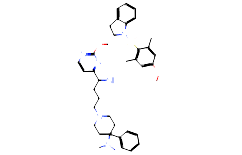 COc1cc(C)c(S(=O)(=O)N2c3ccccc3C[C@H]2COc2nccc(C(N)CCCN3CCC(c4ccccc4)(N(C)C)CC3)n2)c(C)c1